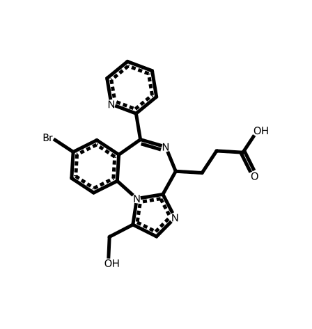 O=C(O)CCC1N=C(c2ccccn2)c2cc(Br)ccc2-n2c(CO)cnc21